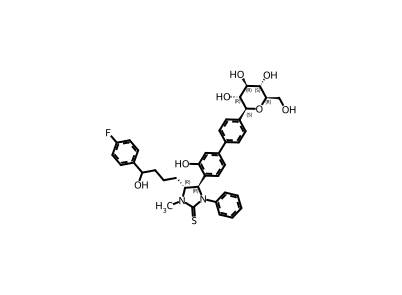 CN1C(=S)N(c2ccccc2)[C@H](c2ccc(-c3ccc([C@@H]4O[C@H](CO)[C@@H](O)[C@H](O)[C@H]4O)cc3)cc2O)[C@H]1CCCC(O)c1ccc(F)cc1